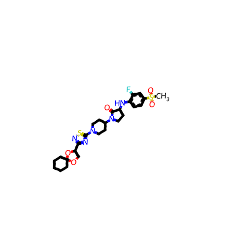 CS(=O)(=O)c1ccc(NC2CCN(C3CCN(c4nc(C5COC6(CCCCC6)O5)ns4)CC3)C2=O)c(F)c1